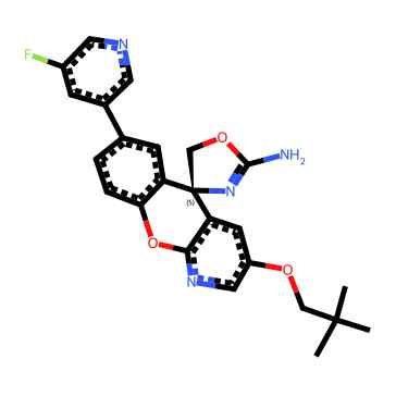 CC(C)(C)COc1cnc2c(c1)[C@]1(COC(N)=N1)c1cc(-c3cncc(F)c3)ccc1O2